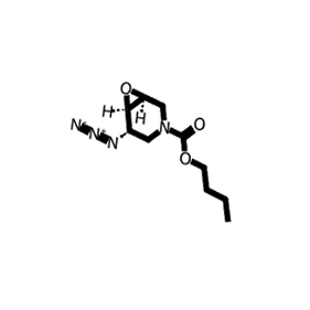 CCCCOC(=O)N1C[C@H](N=[N+]=[N-])[C@H]2O[C@H]2C1